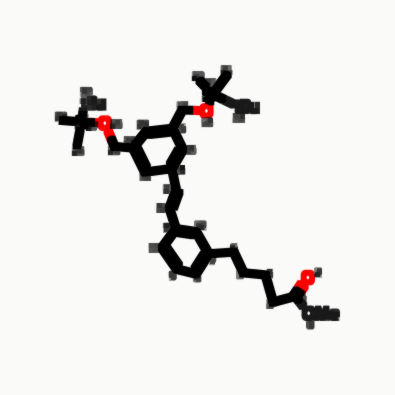 COC(=O)CCCCc1cccc(C=Cc2cc(CO[Si](C)(C)C(C)(C)C)cc(CO[Si](C)(C)C(C)(C)C)c2)c1